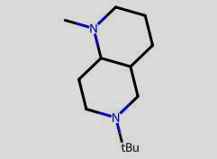 CN1CCCC2CN(C(C)(C)C)CCC21